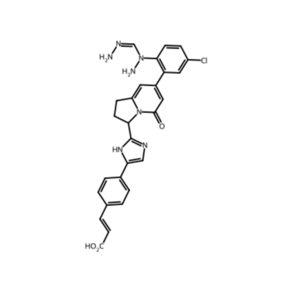 N/N=C\N(N)c1ccc(Cl)cc1-c1cc2n(c(=O)c1)C(c1ncc(-c3ccc(/C=C/C(=O)O)cc3)[nH]1)CC2